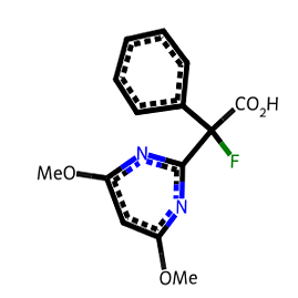 COc1cc(OC)nc(C(F)(C(=O)O)c2ccccc2)n1